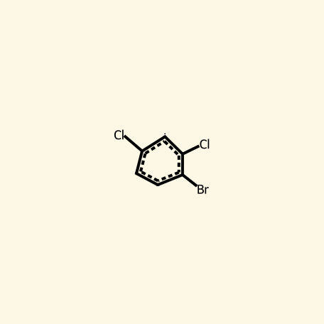 Clc1[c]c(Cl)c(Br)cc1